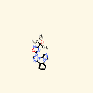 COC(C)(C)c1noc(N2C=NC3c4ccccc4-n4cncc4N32)n1